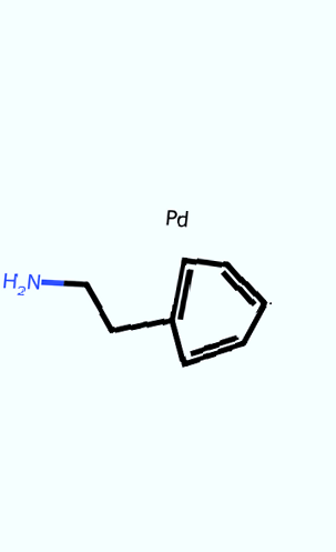 NCCc1cc[c]cc1.[Pd]